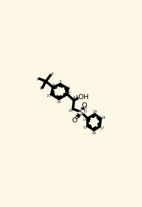 CC(C)(C)c1ccc(C(O)CS(=O)(=O)c2ccccc2)cc1